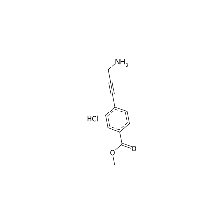 COC(=O)c1ccc(C#CCN)cc1.Cl